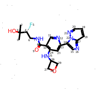 CC(C)(O)[C@H](F)CNC(=O)c1cnc(-c2cnc3cccnn23)cc1NC1COC1